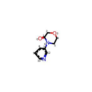 O=C1COCCN1c1cc[c]nc1